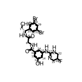 O=CC[C@@H](NC(=O)CNC(=O)c1cc(O)cc(NC2=NCC(F)CN2)c1)c1cc(Br)cc(Br)c1